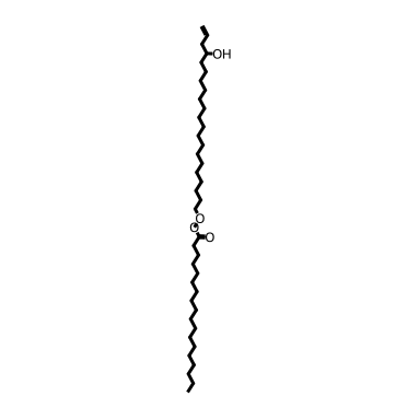 C=CCC(O)CCCCCCCCCCCCCCCCCOOC(=O)CCCCCCCCCCCCCCCCC